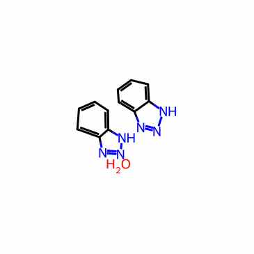 O.c1ccc2[nH]nnc2c1.c1ccc2[nH]nnc2c1